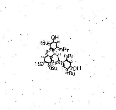 CCCc1cc(O)c(C(C)(C)C)cc1C(CCC)CC(c1cc(C(C)(C)C)c(O)cc1CCC)c1cc(C(C)(C)C)c(O)cc1CCC